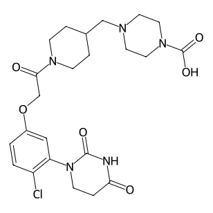 O=C1CCN(c2cc(OCC(=O)N3CCC(CN4CCN(C(=O)O)CC4)CC3)ccc2Cl)C(=O)N1